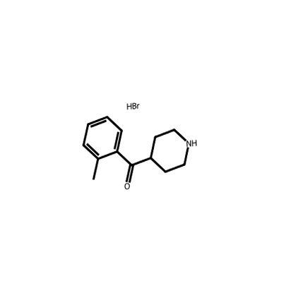 Br.Cc1ccccc1C(=O)C1CCNCC1